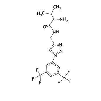 CC(C)C(N)C(=O)NCc1cn(-c2cc(C(F)(F)F)cc(C(F)(F)F)c2)nn1